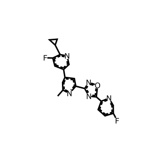 Cc1cc(-c2cnc(C3CC3)c(F)c2)cc(-c2noc(-c3ccc(F)cn3)n2)n1